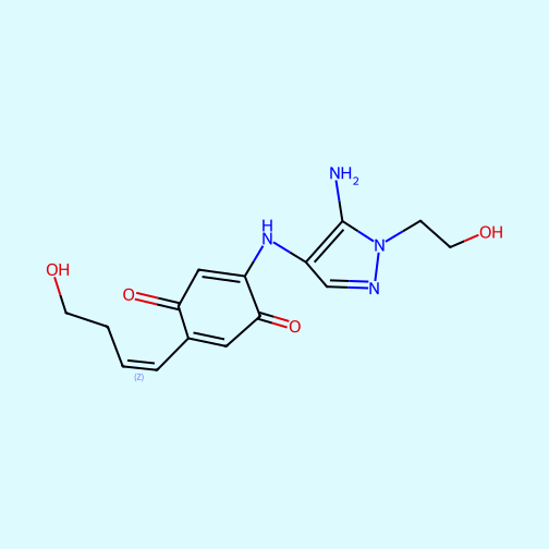 Nc1c(NC2=CC(=O)C(/C=C\CCO)=CC2=O)cnn1CCO